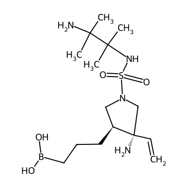 C=C[C@]1(N)CN(S(=O)(=O)NC(C)(C)C(C)(C)N)C[C@@H]1CCCB(O)O